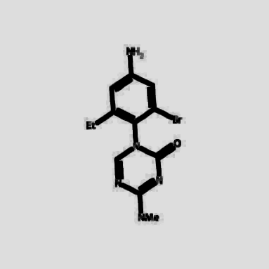 CCc1cc(N)cc(Br)c1-n1cnc(NC)nc1=O